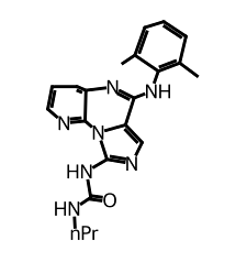 CCCNC(=O)Nc1ncc2c(Nc3c(C)cccc3C)nc3cccnc3n12